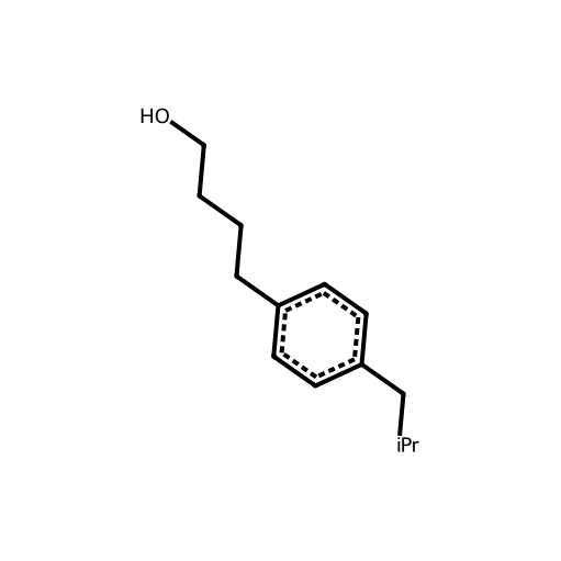 CC(C)Cc1ccc(CCCCO)cc1